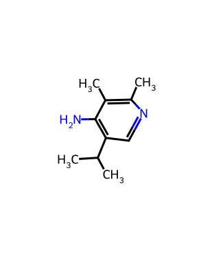 Cc1ncc(C(C)C)c(N)c1C